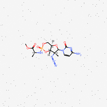 COC(=O)[C@H](C)NP1(=O)OC[C@H]2OC(n3ccc(N)nc3=O)[C@](C)(N=[N+]=[N-])[C@@H]2O1